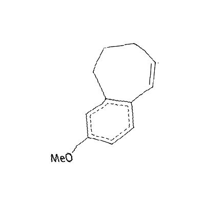 COc1ccc2c(c1)CCC[C]=C2